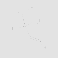 CC=CC(C)(CCC)SCC